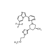 COCCn1cc([C@@H]2C[C@H](C)CN(c3nccc(-c4cnc5ccc(C(F)(F)F)cn45)n3)C2)cn1